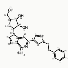 Nc1nc(-c2cnn(CCc3ccccc3)c2)nc2c1ncn2C1OC(CO)[C@@H](O)[C@H]1O